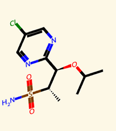 CC(C)O[C@H](c1ncc(Cl)cn1)[C@H](C)S(N)(=O)=O